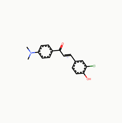 CN(C)c1ccc(C(=O)/C=C/c2ccc(O)c(Cl)c2)cc1